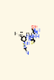 CCC1CCC(NSN2CC(C#N)C2)CC(N(C)c2nc(Nc3cc(CO)[nH]n3)c3ccsc3n2)C1